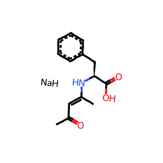 CC(=O)/C=C(\C)N[C@@H](Cc1ccccc1)C(=O)O.[NaH]